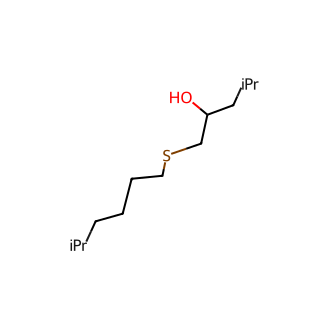 CC(C)CCCCSCC(O)CC(C)C